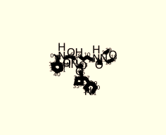 C[C@@H](NC(=O)C(O)[C@H](CCCCNC(=O)N1CCOCC1)NC(=O)OCC1(Cc2cccnc2)CCC1)c1ccccc1